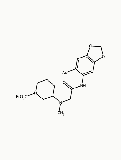 CCOC(=O)N1CCCC(N(C)CC(=O)Nc2cc3c(cc2C(C)=O)OCO3)C1